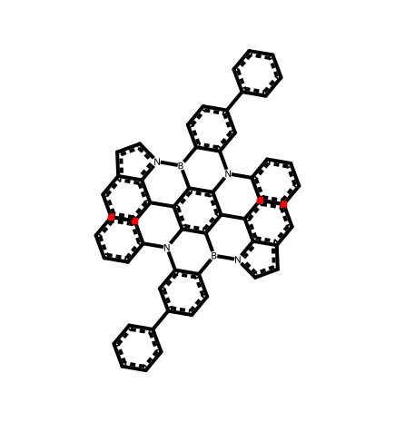 c1ccc(-c2ccc3c(c2)N(c2ccccc2)c2c4c(c5c6c2-c2cccc7ccn(c27)B6c2ccc(-c6ccccc6)cc2N5c2ccccc2)-c2cccc5ccn(c25)B34)cc1